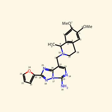 COc1cc2c(cc1OC)C(C)N(Cc1cnc(N)n3nc(-c4ccco4)nc13)CC2